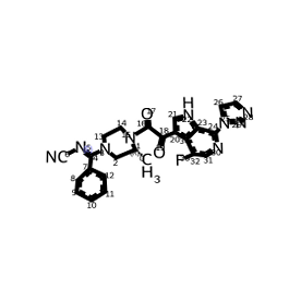 C[C@@H]1CN(/C(=N/C#N)c2ccccc2)CCN1C(=O)C(=O)c1c[nH]c2c(-n3ccnn3)ncc(F)c12